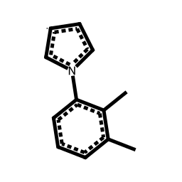 Cc1cccc(-n2c[c]cc2)c1C